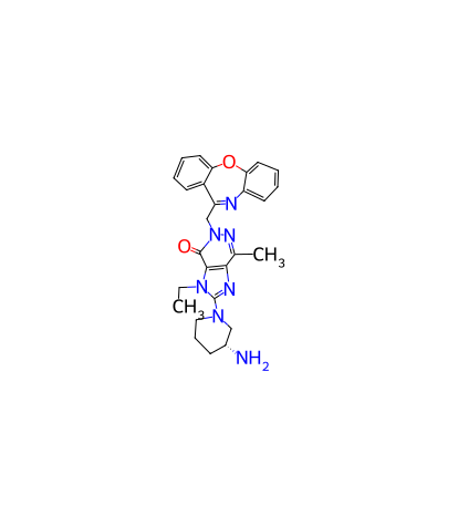 CCn1c(N2CCC[C@@H](N)C2)nc2c(C)nn(CC3=Nc4ccccc4Oc4ccccc43)c(=O)c21